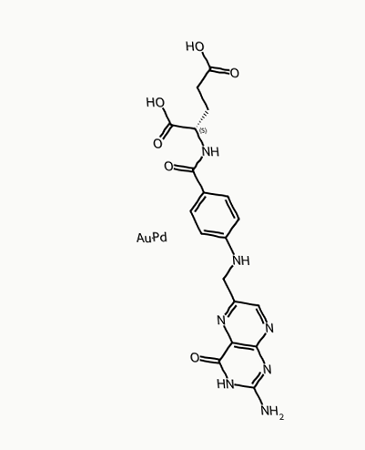 Nc1nc2ncc(CNc3ccc(C(=O)N[C@@H](CCC(=O)O)C(=O)O)cc3)nc2c(=O)[nH]1.[Au].[Pd]